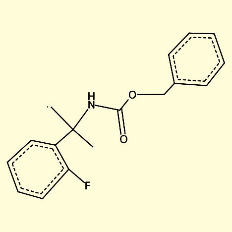 [CH2]C(C)(NC(=O)OCc1ccccc1)c1ccccc1F